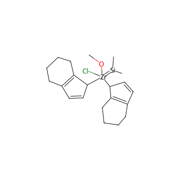 C[O][Zr]([Cl])([CH]1C=CC2=C1CCCC2)([CH]1C=CC2=C1CCCC2)=[Si](C)C